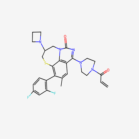 C=CC(=O)N1CCN(c2nc(=O)n3c4c(c(-c5ccc(F)cc5F)c(C)cc24)SCC(N2CCC2)C3)CC1